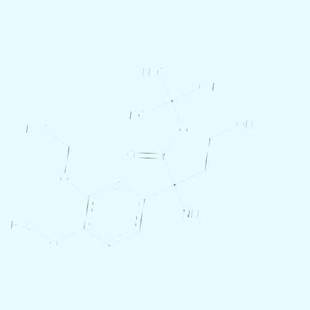 CCOc1cc(C(N)(CCO)C(=O)OC(C)(C)C)ccc1OC